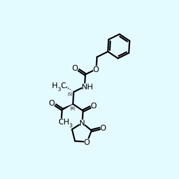 CC(=O)[C@H](C(=O)N1CCOC1=O)[C@H](C)NC(=O)OCc1ccccc1